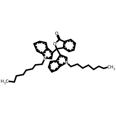 CCCCCCCCn1cc(C2(c3cn(CCCCCCCC)c4ccccc34)OC(=O)c3ccccc32)c2ccccc21